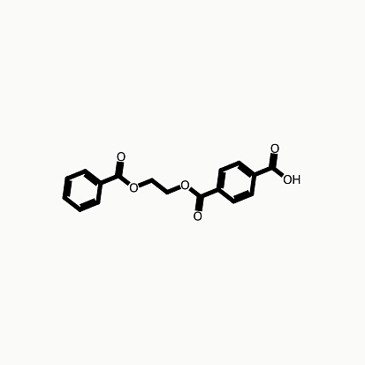 O=C(O)c1ccc(C(=O)OCCOC(=O)c2ccccc2)cc1